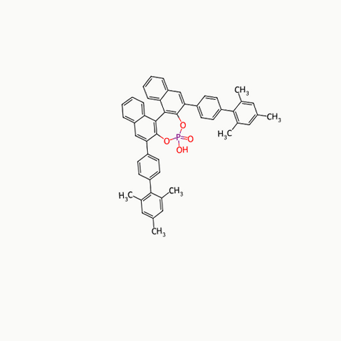 Cc1cc(C)c(-c2ccc(-c3cc4ccccc4c4c3OP(=O)(O)Oc3c(-c5ccc(-c6c(C)cc(C)cc6C)cc5)cc5ccccc5c3-4)cc2)c(C)c1